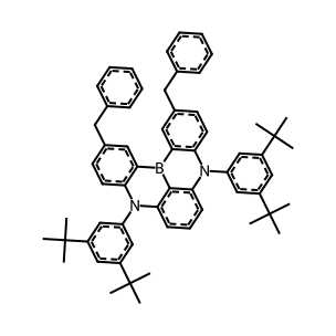 CC(C)(C)c1cc(N2c3ccc(Cc4ccccc4)cc3B3c4cc(Cc5ccccc5)ccc4N(c4cc(C(C)(C)C)cc(C(C)(C)C)c4)c4cccc2c43)cc(C(C)(C)C)c1